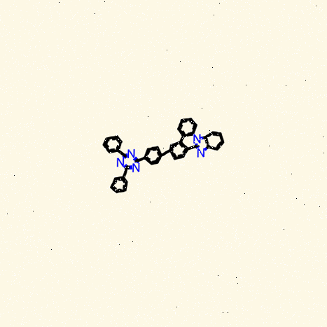 C1=CC2N=C3c4ccc(-c5ccc(-c6nc(-c7ccccc7)nc(-c7ccccc7)n6)cc5)cc4-c4ccccc4N3C2C=C1